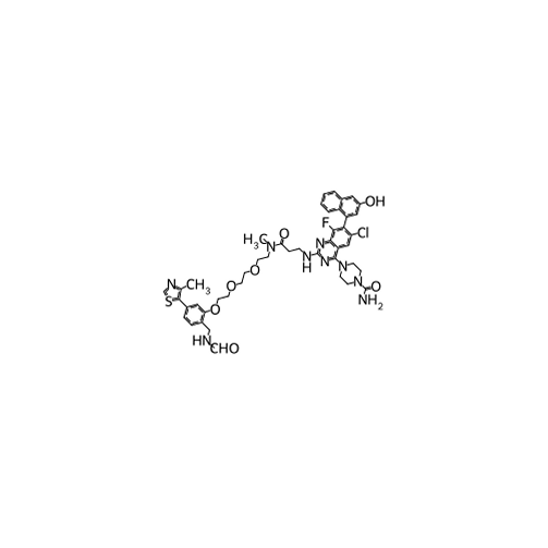 Cc1ncsc1-c1ccc(CNC=O)c(OCCOCCOCCN(C)C(=O)CCNc2nc(N3CCN(C(N)=O)CC3)c3cc(Cl)c(-c4cc(O)cc5ccccc45)c(F)c3n2)c1